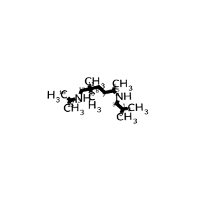 CC(C)CNC(C)CCC(C)(C)CNC(C)C